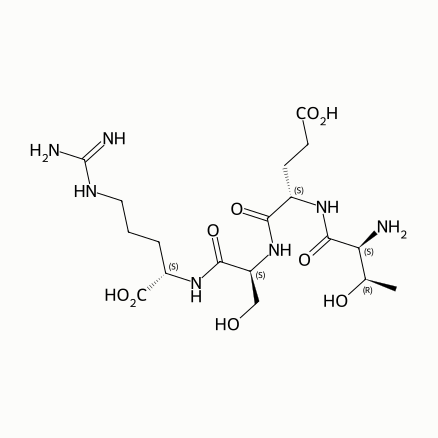 C[C@@H](O)[C@H](N)C(=O)N[C@@H](CCC(=O)O)C(=O)N[C@@H](CO)C(=O)N[C@@H](CCCNC(=N)N)C(=O)O